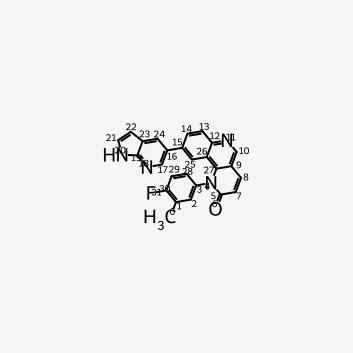 Cc1cc(-n2c(=O)ccc3cnc4ccc(-c5cnc6[nH]ccc6c5)cc4c32)ccc1F